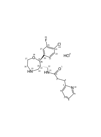 Cl.O=C(CCc1ccccn1)NC[C@@H]1CNCCO[C@H]1c1ccc(Cl)c(F)c1